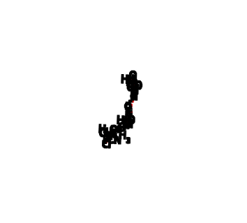 CC(C)(c1ccc(OCc2ccnc(NC(=O)C3CCN(C4CCCC(CCC5CN(c6ccc7c(c6)C(=O)N(C6CCC(=O)NC6=O)C7=O)C5)CC4)CC3)n2)cc1)c1cc(Cl)c(OCCCl)c(C#N)c1